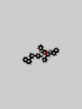 c1cc(-c2ccc(N(c3ccccc3-c3ccc4oc5c6ccccc6ccc5c4c3)c3cccc4c3sc3ccccc34)cc2)cc(-c2cccc3ccccc23)c1